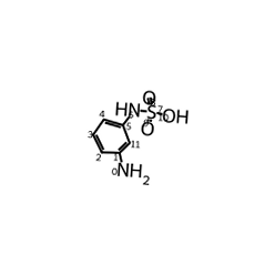 Nc1cccc(NS(=O)(=O)O)c1